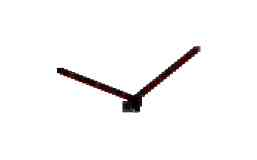 CCCCCCCCCCCCCCCCCCCCCCCCCCCCCCCCCCCCCCCCc1nc2csc(Br)c2nc1CCCCCCCCCCCCCCCCCCCCCCCCCCCCCCCCCCCCCCCC